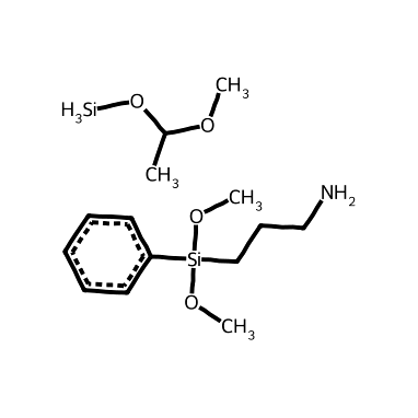 COC(C)O[SiH3].CO[Si](CCCN)(OC)c1ccccc1